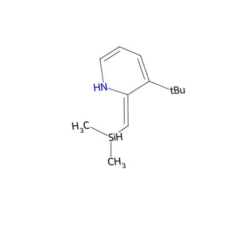 C[SiH](C)C=C1NC=CC=C1C(C)(C)C